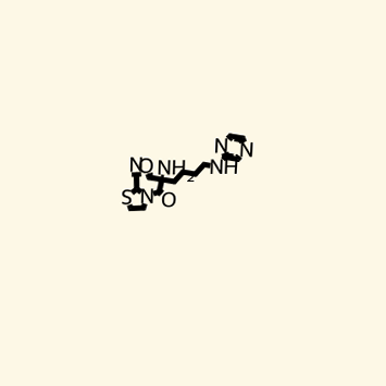 N#CC1SCCN1C(=O)[C@](N)(C=O)CCCCNc1cnccn1